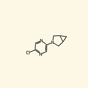 Clc1cnc(N2CC3CC3C2)cn1